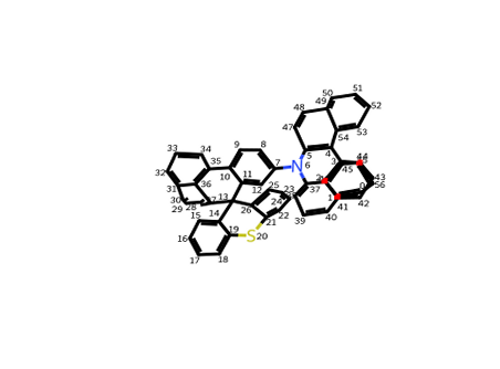 c1ccc(-c2c(N(c3ccc4c(c3)C3(c5ccccc5Sc5ccccc53)c3cccc5cccc-4c35)c3cccc4ccccc34)ccc3ccccc23)cc1